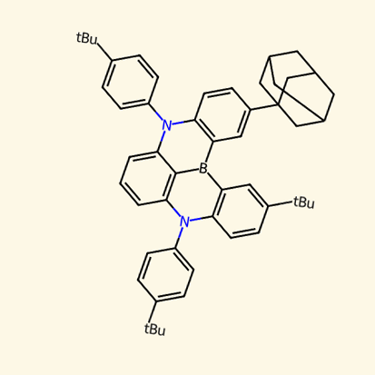 CC(C)(C)c1ccc(N2c3ccc(C(C)(C)C)cc3B3c4cc(C56CC7CC(CC(C7)C5)C6)ccc4N(c4ccc(C(C)(C)C)cc4)c4cccc2c43)cc1